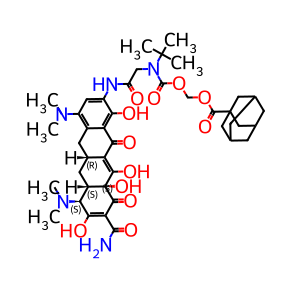 CN(C)c1cc(NC(=O)CN(C(=O)OCOC(=O)C23CC4CC(CC(C4)C2)C3)C(C)(C)C)c(O)c2c1C[C@H]1C[C@H]3[C@H](N(C)C)C(O)=C(C(N)=O)C(=O)[C@@]3(O)C(O)=C1C2=O